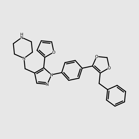 c1ccc(CC2=C(c3ccc(-n4ncc(CN5CCNCC5)c4-c4ccco4)cc3)OCO2)cc1